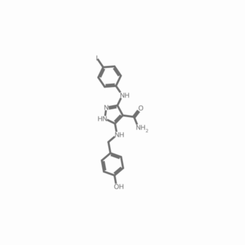 NC(=O)c1c(Nc2ccc(I)cc2)n[nH]c1NCc1ccc(O)cc1